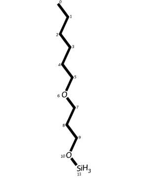 CCCCCCOCCCO[SiH3]